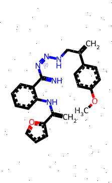 C=C(CN/N=N\C(=N)c1ccccc1NC(=C)c1ccco1)c1ccc(OC)cc1